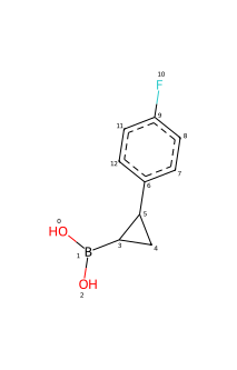 OB(O)C1CC1c1ccc(F)cc1